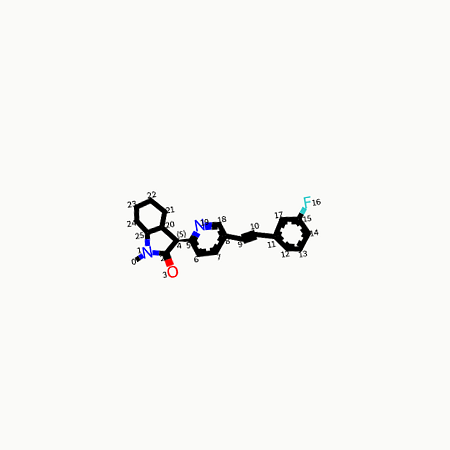 CN1C(=O)[C@H](c2ccc(C#Cc3cccc(F)c3)cn2)C2CCCCC21